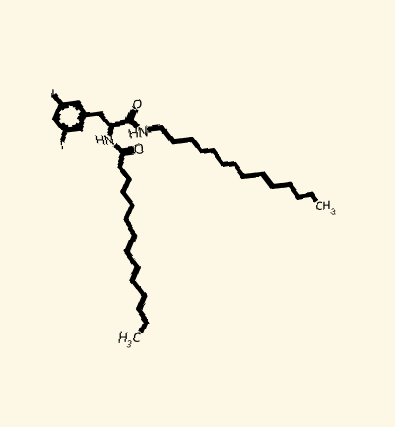 CCCCCCCCCCCCCCNC(=O)C(Cc1cc(I)cc(I)c1)NC(=O)CCCCCCCCCCCCC